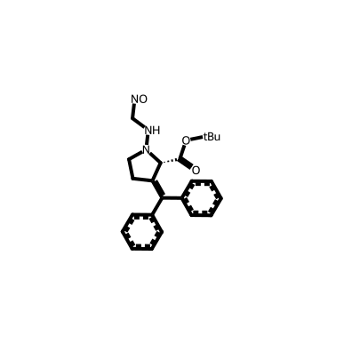 CC(C)(C)OC(=O)[C@@H]1C(=C(c2ccccc2)c2ccccc2)CCN1NCN=O